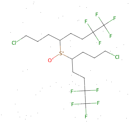 [O-][S+](C(CCCCl)CCC(F)(F)C(F)(F)F)C(CCCCl)CCC(F)(F)C(F)(F)F